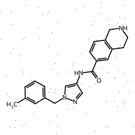 Cc1cccc(Cn2cc(NC(=O)c3ccc4c(c3)CCNC4)cn2)c1